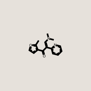 Cc1occc1C(=O)C(=CN(C)C)c1ccccn1